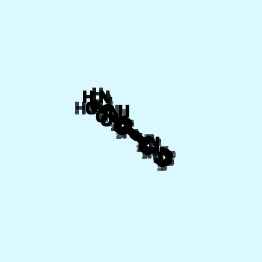 NC[C@H](NC(=O)c1ccc(C#Cc2ccc(N3CCCCC3)nc2)cc1)C(=O)NO